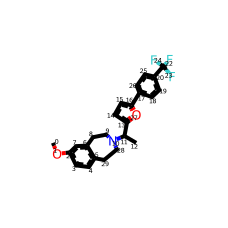 COc1ccc2c(c1)CCN(C(C)c1ccc(-c3ccc(C(F)(F)F)cc3)o1)CC2